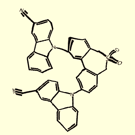 N#Cc1ccc2c(c1)c1ccccc1n2-c1ccc2c(c1)-c1cc(-n3c4ccccc4c4cc(C#N)ccc43)ccc1CS(=O)(=O)C2